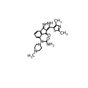 Cc1nc(C)c(-c2[nH]nc3c2C(=O)c2c-3cccc2N(C(N)=O)N2CCN(C)CC2)s1